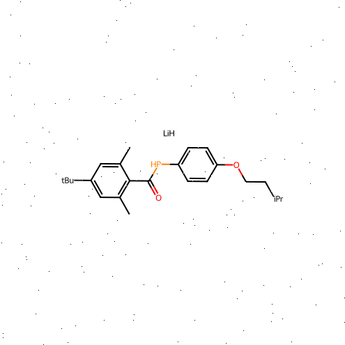 Cc1cc(C(C)(C)C)cc(C)c1C(=O)Pc1ccc(OCCC(C)C)cc1.[LiH]